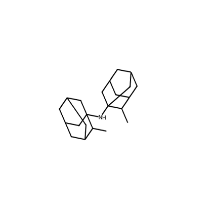 CC1C2CC3CC(C2)CC1(NC12CC4CC(CC(C4)C1C)C2)C3